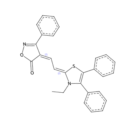 CCN1C(c2ccccc2)=C(c2ccccc2)S/C1=C\C=C1/C(=O)ON=C1c1ccccc1